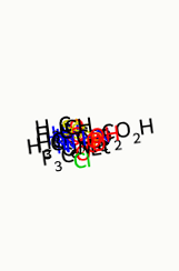 CCOc1cc(Oc2ccc(C(F)(F)F)cc2Cl)ccc1[N+](=O)[O-].COc1nc(C)nc(NC(=O)NS(=O)(=O)c2ccsc2C(=O)O)n1.C[S+](C)C.O=C(O)CNCP(=O)([O-])O